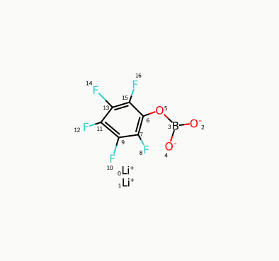 [Li+].[Li+].[O-]B([O-])Oc1c(F)c(F)c(F)c(F)c1F